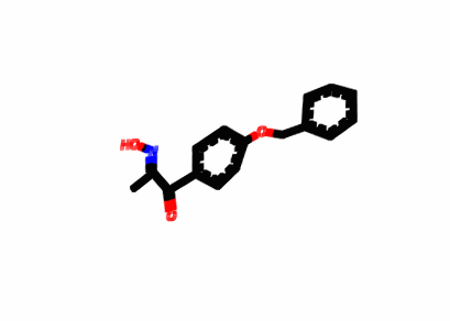 CC(=NO)C(=O)c1ccc(OCc2ccccc2)cc1